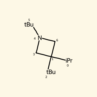 CC(C)C1(C(C)(C)C)CN(C(C)(C)C)C1